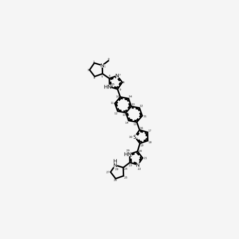 CN1CCCC1c1ncc(-c2ccc3cc(-c4ccc(-c5cnc(C6CCCN6)[nH]5)s4)ccc3c2)[nH]1